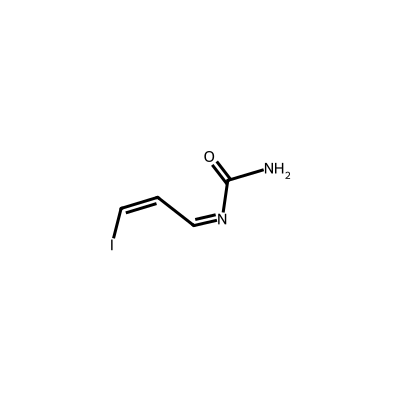 NC(=O)/N=C\C=C/I